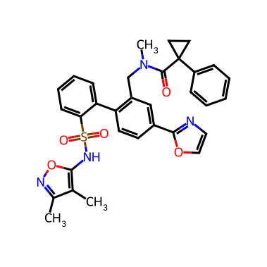 Cc1noc(NS(=O)(=O)c2ccccc2-c2ccc(-c3ncco3)cc2CN(C)C(=O)C2(c3ccccc3)CC2)c1C